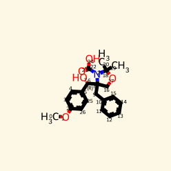 COc1ccc([C@@H](O)C2(Cc3ccccc3)COC(C)(C)N2C(=O)O)cc1